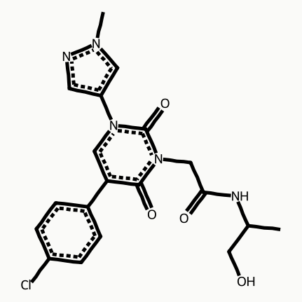 CC(CO)NC(=O)Cn1c(=O)c(-c2ccc(Cl)cc2)cn(-c2cnn(C)c2)c1=O